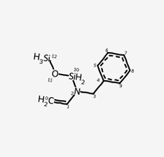 C=CN(Cc1ccccc1)[SiH2]O[SiH3]